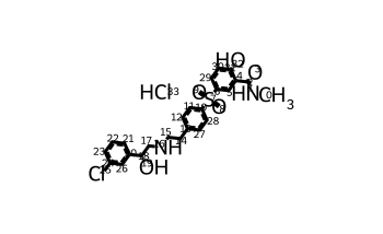 CNC(=O)c1cc(S(=O)(=O)c2ccc(CCNC[C@H](O)c3cccc(Cl)c3)cc2)ccc1O.Cl